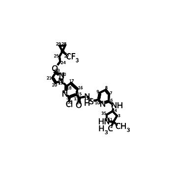 CC1(C)CC(Nc2cccc(SNC(=O)c3ccc(-n4ccc(OCCC5(C(F)(F)F)CC5)n4)nc3Cl)n2)CN1